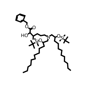 CCCCCCCCCCC(CN(CCCC(C)C(O)C(=O)OCc1ccccc1)CC(CCCCCCCCCC)O[Si](C)(C)C(C)(C)C)O[Si](C)(C)C(C)(C)C